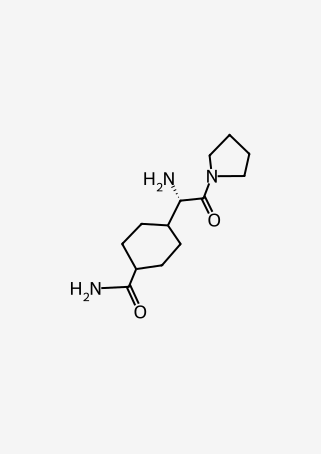 NC(=O)C1CCC([C@H](N)C(=O)N2CCCC2)CC1